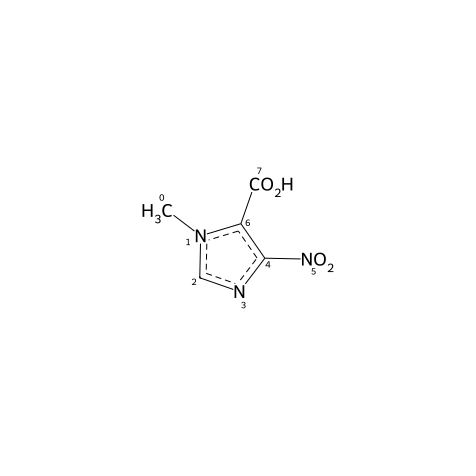 Cn1cnc([N+](=O)[O-])c1C(=O)O